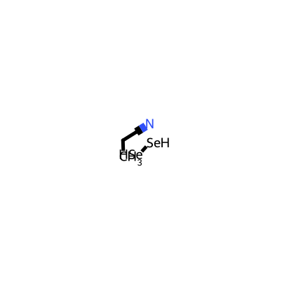 CCC#N.[SeH][SeH]